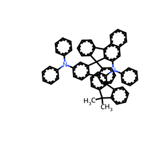 CC1(C)c2ccccc2-c2c(N(c3ccccc3)c3cc4ccccc4c4c3C3(c5ccccc5-c5ccc(N(c6ccccc6)c6ccccc6)cc53)c3ccccc3-4)cccc21